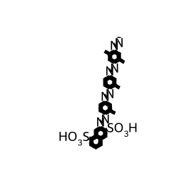 CN=Nc1cc(C)c(N=Nc2ccc(N=Nc3ccc(N=Nc4cc5c(S(=O)(=O)O)cccc5cc4S(=O)(=O)O)c(C)c3)c(C)c2)cc1C